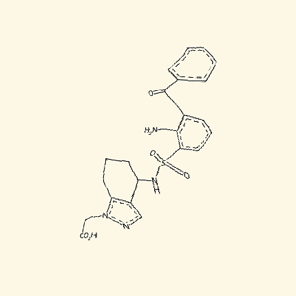 Nc1c(C(=O)c2ccccc2)cccc1S(=O)(=O)NC1CCCc2c1cnn2CC(=O)O